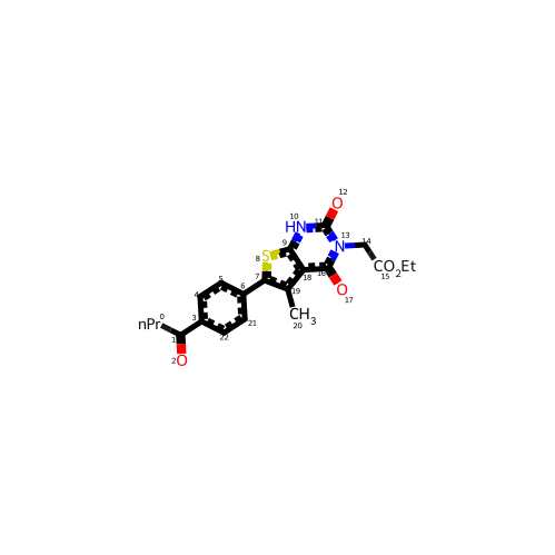 CCCC(=O)c1ccc(-c2sc3[nH]c(=O)n(CC(=O)OCC)c(=O)c3c2C)cc1